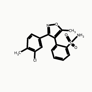 Cc1ccc(-c2noc(C)c2-c2ccccc2S(N)(=O)=O)cc1Cl